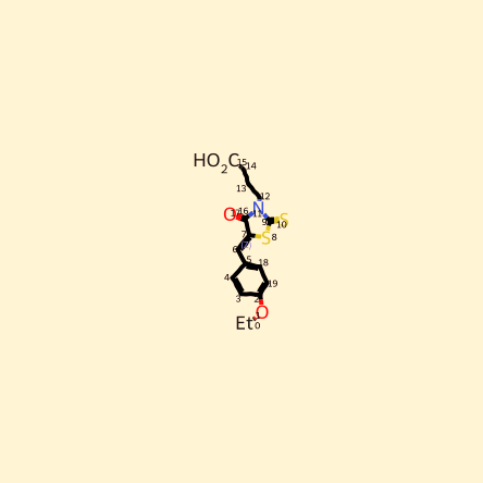 CCOc1ccc(/C=C2\SC(=S)N(CCCC(=O)O)C2=O)cc1